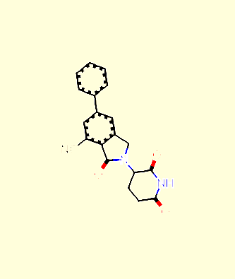 N#Cc1cc(-c2ccccc2)cc2c1C(=O)N(C1CCC(=O)NC1=O)C2